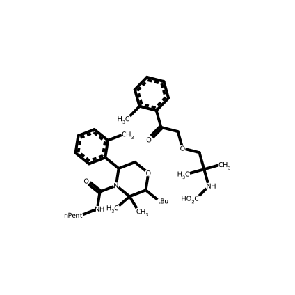 CCCCCNC(=O)N1C(c2ccccc2C)COC(C(C)(C)C)C1(C)C.Cc1ccccc1C(=O)COCC(C)(C)NC(=O)O